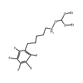 CCOC(OCC)O[SiH2]CCCCCc1c(F)c(F)c(F)c(F)c1F